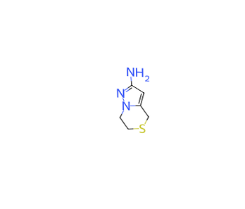 Nc1cc2n(n1)CCSC2